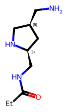 CCC(=O)NC[C@@H]1C[C@H](CN)CN1